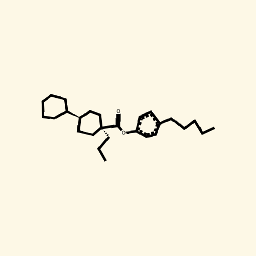 CCCCCc1ccc(OC(=O)[C@]2(CCC)CC[C@H](C3CCCCC3)CC2)cc1